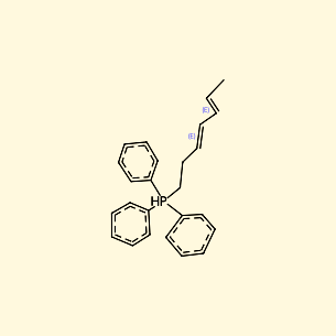 C/C=C/C=C/CC[PH](c1ccccc1)(c1ccccc1)c1ccccc1